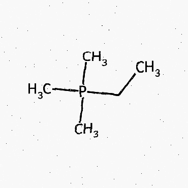 CC[P](C)(C)C